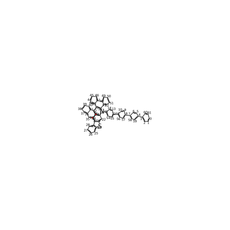 c1ccc(-c2ccc(-c3ccc(-c4ccc(N(c5ccc6c(c5)sc5ccccc56)c5c(-c6cccc7ccccc67)c6ccccc6c6ccccc56)cc4)cc3)cc2)cc1